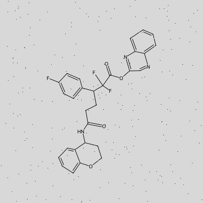 O=C(CCC(c1ccc(F)cc1)C(F)(F)C(=O)Oc1cnc2ccccc2n1)NC1CCOc2ccccc21